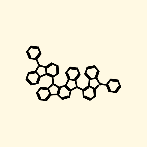 c1ccc(-n2c3ccccc3c3c(-n4c5ccccc5c5c4ccc4c6ccccc6n(-c6cccc7c6c6ccccc6n7-c6ccccc6)c45)cccc32)cc1